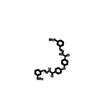 CSc1cccc(/C=N/NC(=O)c2ccc(Oc3ccc(C(=O)N/N=C/c4cccc(SC)c4)cc3)cc2)c1